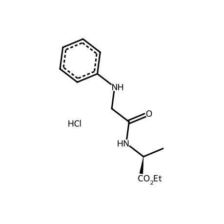 CCOC(=O)[C@H](C)NC(=O)CNc1ccccc1.Cl